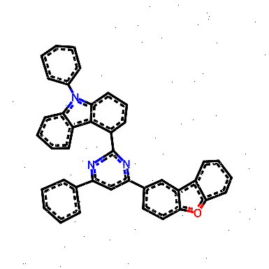 c1ccc(-c2cc(-c3ccc4oc5ccccc5c4c3)nc(-c3cccc4c3c3ccccc3n4-c3ccccc3)n2)cc1